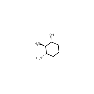 N[C@H]1[C@H](O)CCC[C@@H]1N